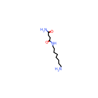 NCCCCCCCCNC(=O)CCC(N)=O